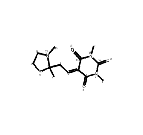 CN1C(=O)C(=CCC2(C)SCCN2C)C(=O)N(C)C1=O